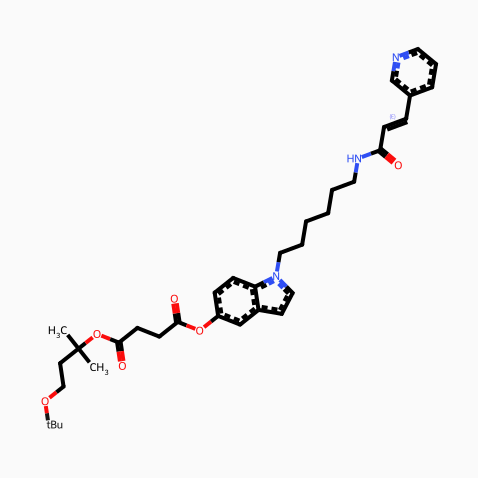 CC(C)(C)OCCC(C)(C)OC(=O)CCC(=O)Oc1ccc2c(ccn2CCCCCCNC(=O)/C=C/c2cccnc2)c1